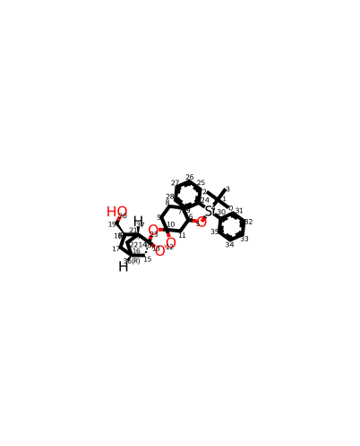 CC(C)(C)[Si](OC1CCCC2(C1)OO[C@]1(C[C@@H]3C[C@@H](CO)[C@H]1C3)O2)(c1ccccc1)c1ccccc1